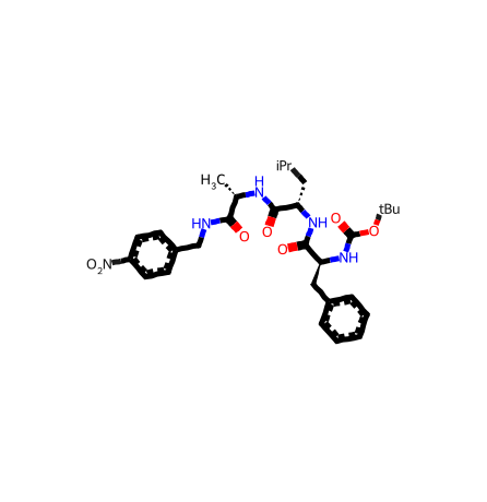 CC(C)C[C@H](NC(=O)[C@H](Cc1ccccc1)NC(=O)OC(C)(C)C)C(=O)N[C@@H](C)C(=O)NCc1ccc([N+](=O)[O-])cc1